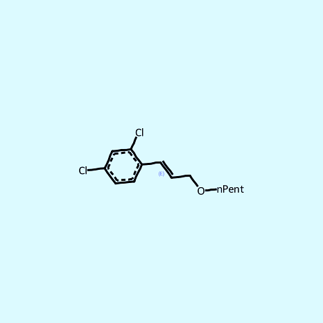 [CH2]CCCCOC/C=C/c1ccc(Cl)cc1Cl